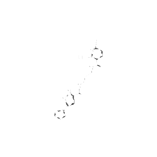 Cc1ccc(C(=O)NCCCNC(=O)c2cc(-c3cccs3)[nH]n2)c(O)n1